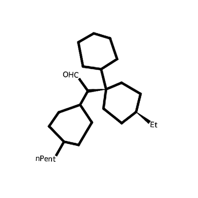 CCCCCC1CCC(C(C=O)[C@]2(C3CCCCC3)CC[C@H](CC)CC2)CC1